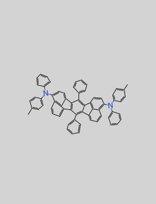 Cc1ccc(N(c2ccccc2)c2ccc3c4c(-c5ccccc5)c5c6ccc(N(c7ccccc7)c7ccc(C)cc7)c7cccc(c5c(-c5ccccc5)c4c4cccc2c43)c76)cc1